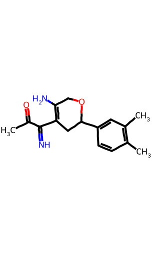 CC(=O)C(=N)C1=C(N)COC(c2ccc(C)c(C)c2)C1